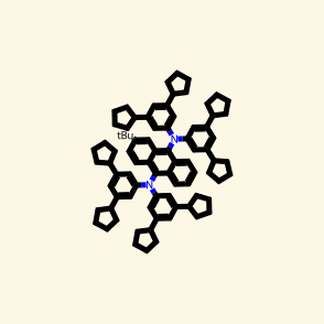 CC(C)(C)c1ccc2c(N(c3cc(C4CCCC4)cc(C4CCCC4)c3)c3cc(C4CCCC4)cc(C4CCCC4)c3)c3ccccc3c(N(c3cc(C4CCCC4)cc(C4CCCC4)c3)c3cc(C4CCCC4)cc(C4CCCC4)c3)c2c1